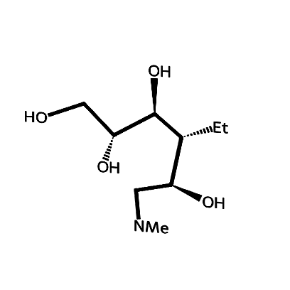 CC[C@@H]([C@H](O)[C@H](O)CO)[C@@H](O)CNC